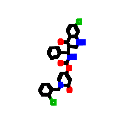 O=C(NC(c1ccccc1)c1c[nH]c2cc(Cl)ccc2c1=O)Oc1ccn(Cc2ccccc2Cl)c(=O)c1